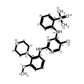 COc1cccc(Nc2ncc(Cl)c(Nc3ccccc3P(C)(C)=O)n2)c1N1CCOCC1